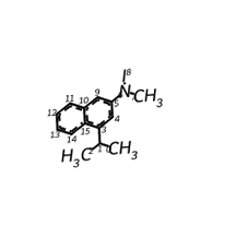 CC(C)c1cc(N(C)I)cc2ccccc12